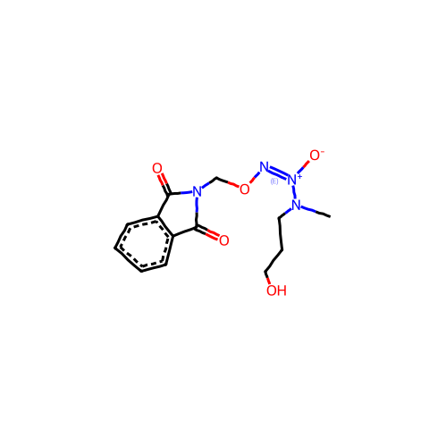 CN(CCCO)/[N+]([O-])=N\OCN1C(=O)c2ccccc2C1=O